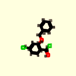 O=C(Cl)c1ccc(Cl)cc1OCc1ccccc1